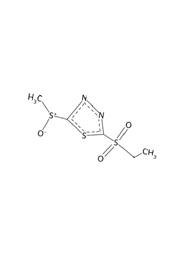 CCS(=O)(=O)c1nnc([S+](C)[O-])s1